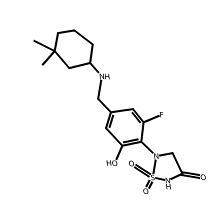 CC1(C)CCCC(NCc2cc(O)c(N3CC(=O)NS3(=O)=O)c(F)c2)C1